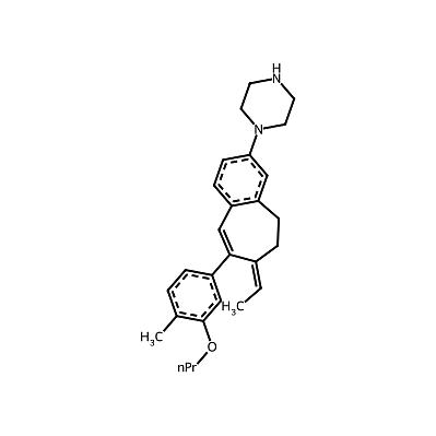 CC=C1CCc2cc(N3CCNCC3)ccc2C=C1c1ccc(C)c(OCCC)c1